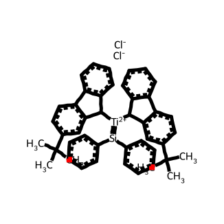 CC(C)(C)c1ccc2c(c1)[CH]([Ti+2]([CH]1c3ccccc3-c3ccc(C(C)(C)C)cc31)=[Si](c1ccccc1)c1ccccc1)c1ccccc1-2.[Cl-].[Cl-]